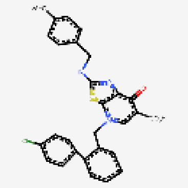 COc1ccc(CNc2nc3c(=O)c(C(=O)O)cn(Cc4ccccc4-c4ccc(Cl)cc4)c3s2)cc1